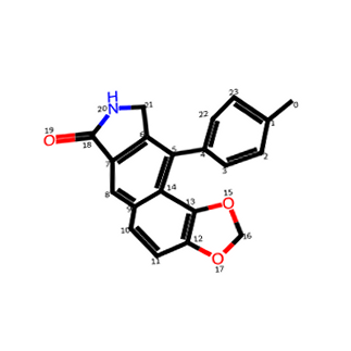 Cc1ccc(-c2c3c(cc4ccc5c(c24)OCO5)C(=O)NC3)cc1